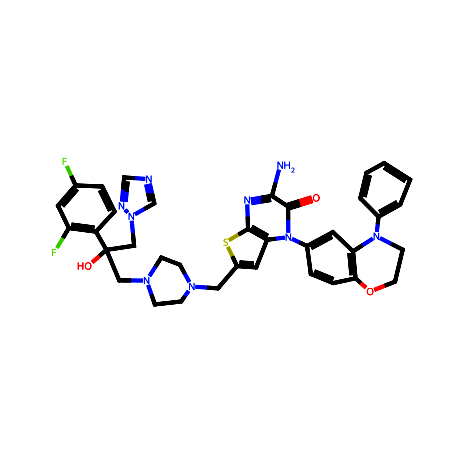 Nc1nc2sc(CN3CCN(CC(O)(Cn4cncn4)c4ccc(F)cc4F)CC3)cc2n(-c2ccc3c(c2)N(c2ccccc2)CCO3)c1=O